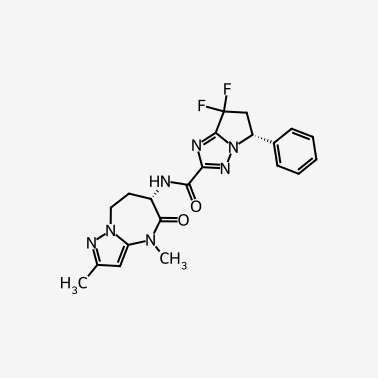 Cc1cc2n(n1)CC[C@H](NC(=O)c1nc3n(n1)[C@@H](c1ccccc1)CC3(F)F)C(=O)N2C